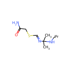 CC(C)NC(C)(C)N=CSCC(N)=O